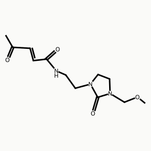 COCN1CCN(CCNC(=O)C=CC(C)=O)C1=O